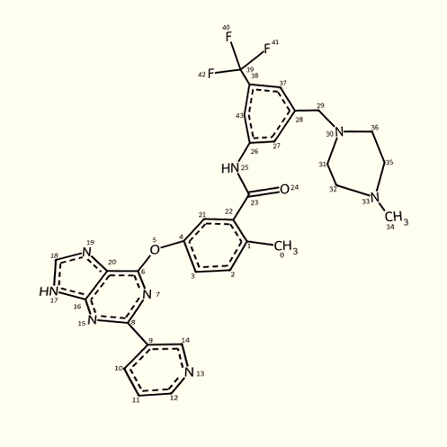 Cc1ccc(Oc2nc(-c3cccnc3)nc3[nH]cnc23)cc1C(=O)Nc1cc(CN2CCN(C)CC2)cc(C(F)(F)F)c1